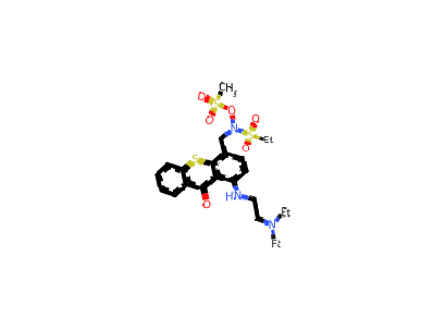 CCN(CC)CCNc1ccc(CN(OS(C)(=O)=O)S(=O)(=O)CC)c2sc3ccccc3c(=O)c12